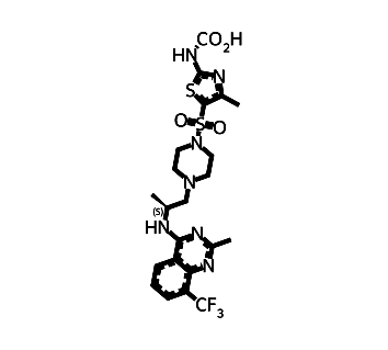 Cc1nc(N[C@@H](C)CN2CCN(S(=O)(=O)c3sc(NC(=O)O)nc3C)CC2)c2cccc(C(F)(F)F)c2n1